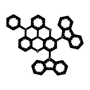 c1ccc(N2c3cccc4c3B3c5c(cccc52)Oc2c(-n5c6ccccc6c6ccccc65)cc(-n5c6ccccc6c6ccccc65)c(c23)O4)cc1